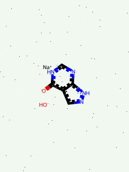 O=c1[nH]cnc2[nH]ncc12.[Na+].[OH-]